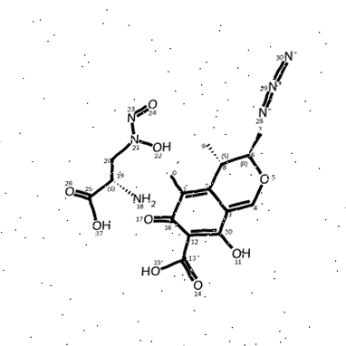 CC1=C2C(=CO[C@H](C)[C@H]2C)C(O)=C(C(=O)O)C1=O.N[C@@H](CN(O)N=O)C(=O)O.[N-]=[N+]=[N-]